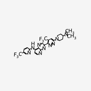 CN(C)C1CCN(c2cc(C(F)(F)F)c(-c3cnc4c(Nc5ccc(C(F)(F)F)cn5)ccnc4n3)nn2)CC1